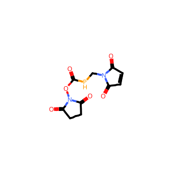 O=C(ON1C(=O)CCC1=O)PCN1C(=O)C=CC1=O